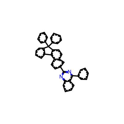 c1ccc(-c2nc(-c3ccc4c5c(ccc4c3)C(c3ccccc3)(c3ccccc3)c3ccccc3-5)nc3ccccc23)cc1